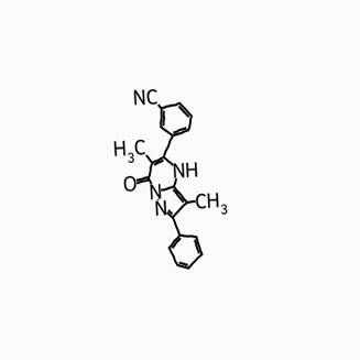 Cc1c(-c2cccc(C#N)c2)[nH]c2c(C)c(-c3ccccc3)nn2c1=O